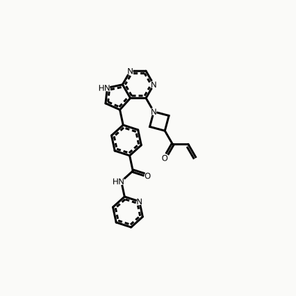 C=CC(=O)C1CN(c2ncnc3[nH]cc(-c4ccc(C(=O)Nc5ccccn5)cc4)c23)C1